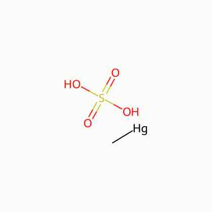 O=S(=O)(O)O.[CH3][Hg]